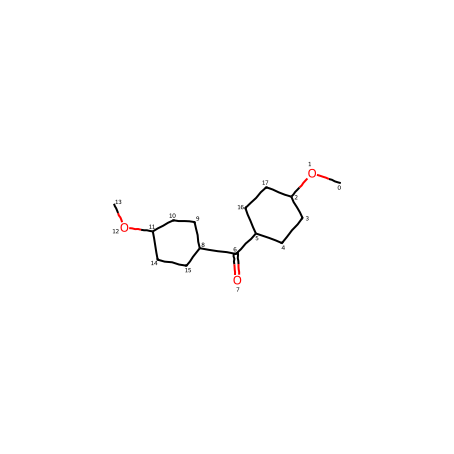 COC1CCC(C(=O)C2CCC(OC)CC2)CC1